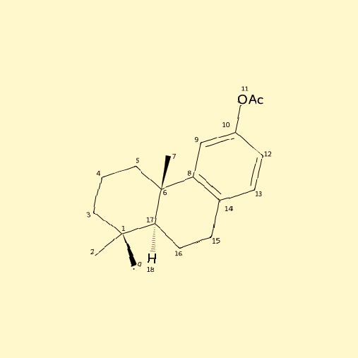 [CH2][C@@]1(C)CCC[C@]2(C)c3cc(OC(C)=O)ccc3CC[C@@H]12